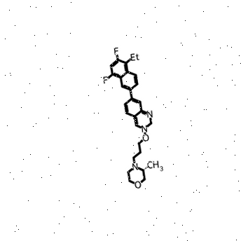 CCc1c(F)cc(F)c2cc(-c3ccc4c(c3)=NCN(OCCCN3CCOC[C@H]3C)C=4)ccc12